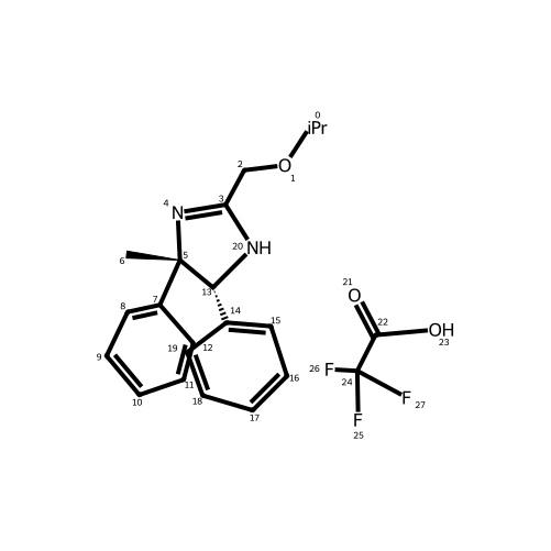 CC(C)OCC1=N[C@@](C)(c2ccccc2)[C@@H](c2ccccc2)N1.O=C(O)C(F)(F)F